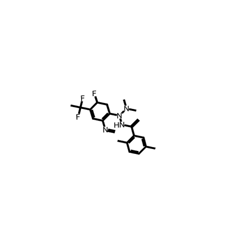 C=NC1=C(N(NC(=C)c2cc(C)ccc2C)N(C)C)CC(F)C(C(C)(F)F)=C1